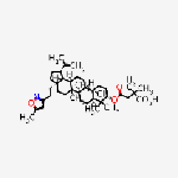 C=C(C)[C@@H]1CC[C@]2(CCc3cc(C)on3)CC[C@]3(C)[C@H](CC[C@@H]4[C@@]5(C)CC[C@H](OC(=O)CC(C)(C)C(=O)O)C(C)(C)[C@@H]5CC[C@]43C)[C@@H]12